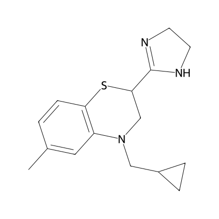 Cc1ccc2c(c1)N(CC1CC1)CC(C1=NCCN1)S2